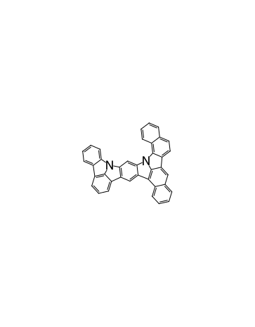 c1ccc2c(c1)cc1c3ccc4ccccc4c3n3c4cc5c(cc4c2c13)c1cccc2c3ccccc3n5c21